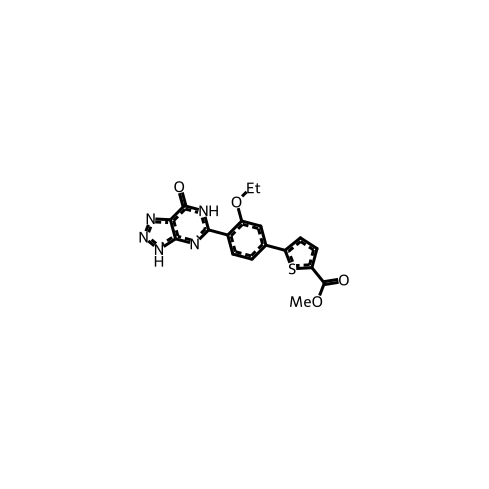 CCOc1cc(-c2ccc(C(=O)OC)s2)ccc1-c1nc2[nH]nnc2c(=O)[nH]1